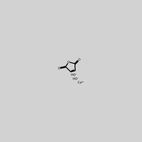 O=C1C=CC(=O)O1.[Ca+2].[OH-].[OH-]